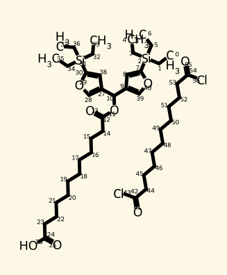 CC[Si](CC)(CC)c1cc(C(OC(=O)CCCCCCCCCCC(=O)O)c2coc([Si](CC)(CC)CC)c2)co1.O=C(Cl)CCCCCCCCCCC(=O)Cl